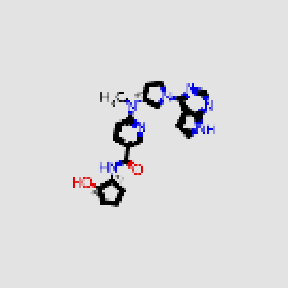 CN(c1ccc(C(=O)N[C@@H]2CCC[C@H]2O)cn1)[C@@H]1CCN(c2ncnc3[nH]ccc23)C1